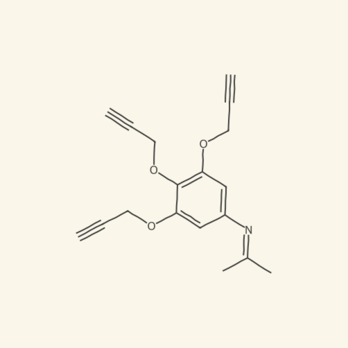 C#CCOc1cc(N=C(C)C)cc(OCC#C)c1OCC#C